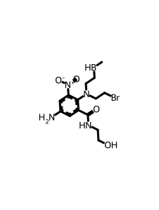 CBCCN(CCBr)c1c(C(=O)NCCO)cc(N)cc1[N+](=O)[O-]